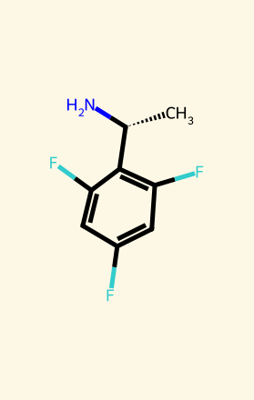 C[C@@H](N)c1c(F)cc(F)cc1F